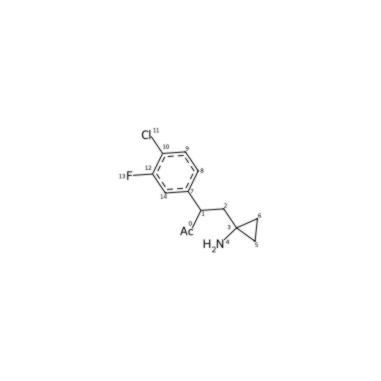 CC(=O)C(CC1(N)CC1)c1ccc(Cl)c(F)c1